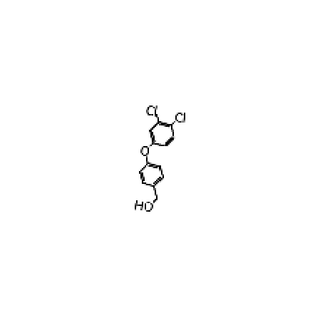 OCc1ccc(Oc2ccc(Cl)c(Cl)c2)cc1